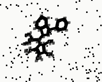 CC[CH2][Ge]([CH2]CC)=[Zr]([CH]1C(C)=C(C)C(C)=C1C)[CH]1C=C(c2ccccc2)c2ccccc21